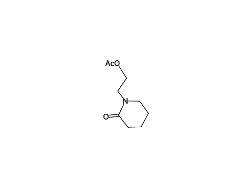 CC(=O)OCCN1CCCCC1=O